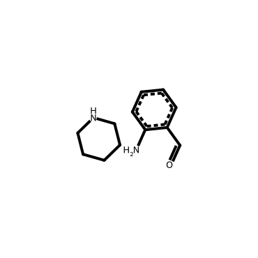 C1CCNCC1.Nc1ccccc1C=O